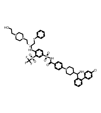 NC(c1ccccc1-c1ccc(Cl)cc1)C1CCN(c2ccc(C(=O)NS(=O)(=O)c3ccc(N[C@H](CCN4CCN(CCO)CC4)CSc4ccccc4)c(S(=O)(=O)C(F)(F)F)c3)cc2)CC1